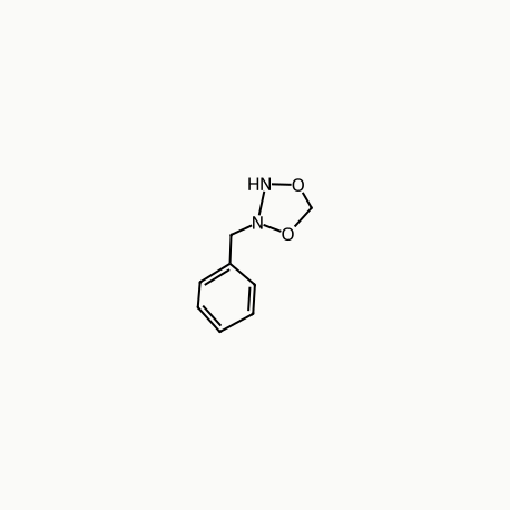 c1ccc(CN2NOCO2)cc1